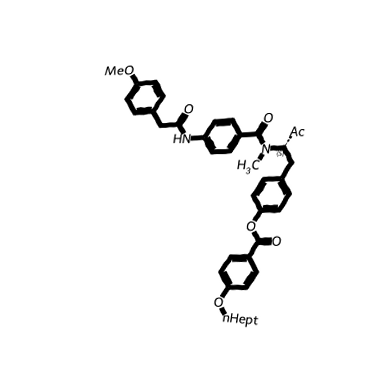 CCCCCCCOc1ccc(C(=O)Oc2ccc(C[C@@H](C(C)=O)N(C)C(=O)c3ccc(NC(=O)Cc4ccc(OC)cc4)cc3)cc2)cc1